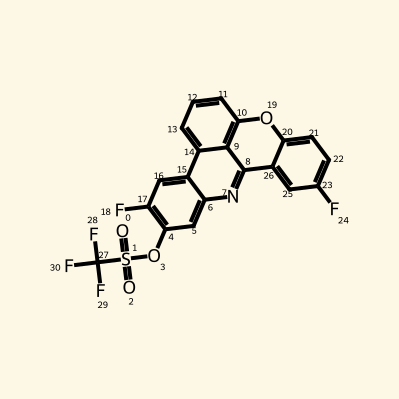 O=S(=O)(Oc1cc2nc3c4c(cccc4c2cc1F)Oc1ccc(F)cc1-3)C(F)(F)F